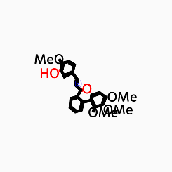 COc1ccc(/C=C/C(=O)c2ccccc2-c2ccc(OC)c(OC)c2OC)cc1O